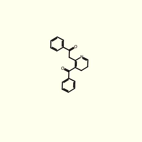 O=C(CC1=C(C(=O)c2ccccc2)CCC=N1)c1ccccc1